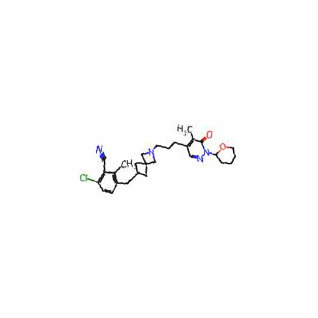 Cc1c(CC2CC3(C2)CN(CCCc2cnn(C4CCCCO4)c(=O)c2C)C3)ccc(Cl)c1C#N